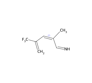 C=C(/C=C(/C)C=N)C(F)(F)F